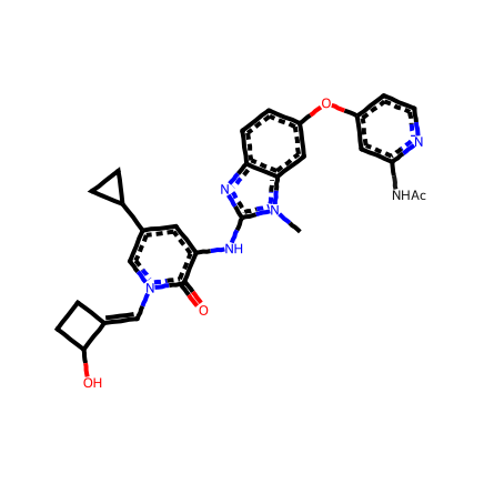 CC(=O)Nc1cc(Oc2ccc3nc(Nc4cc(C5CC5)cn(/C=C5\CCC5O)c4=O)n(C)c3c2)ccn1